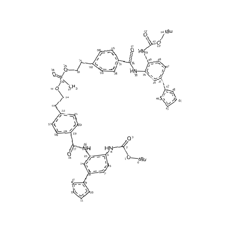 CC(C)(C)OC(=O)Nc1ccc(-c2cccs2)cc1NC(=O)c1ccc(CCOP(C)(=O)OCCc2ccc(C(=O)Nc3cc(-c4cccs4)ccc3NC(=O)OC(C)(C)C)cc2)cc1